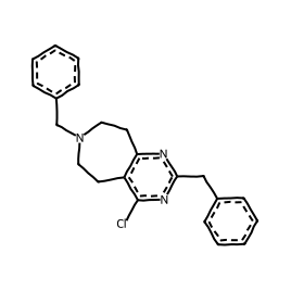 Clc1nc(Cc2ccccc2)nc2c1CCN(Cc1ccccc1)CC2